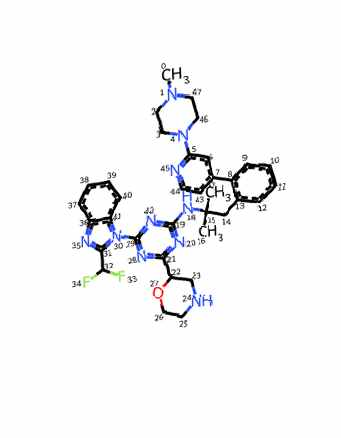 CN1CCN(c2cc(-c3ccccc3CC(C)(C)Nc3nc(C4CNCCO4)nc(-n4c(C(F)F)nc5ccccc54)n3)ccn2)CC1